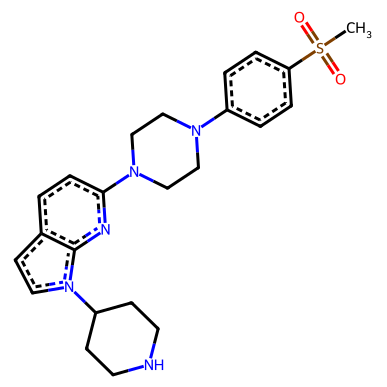 CS(=O)(=O)c1ccc(N2CCN(c3ccc4ccn(C5CCNCC5)c4n3)CC2)cc1